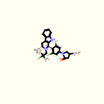 C[C@@H]1Cc2c([nH]c3ccccc23)[C@@H](c2c(F)cc(N3CC(C(=O)O)CC3=O)cc2F)N1CC(C)(C)F